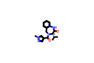 CC(C)[C@H]1C(=O)Nc2ccccc2CN1C(=O)c1cnn(C)c1